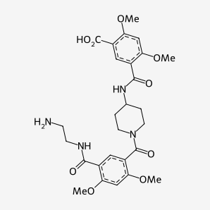 COc1cc(OC)c(C(=O)NC2CCN(C(=O)c3cc(C(=O)NCCN)c(OC)cc3OC)CC2)cc1C(=O)O